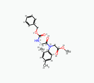 CC[C@H](C)[C@H](NC(=O)OCc1ccccc1)C(=O)N(CC(=O)OC(C)(C)C)c1ccc(C)cc1